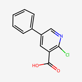 O=C(O)c1cc(-c2ccccc2)cnc1Cl